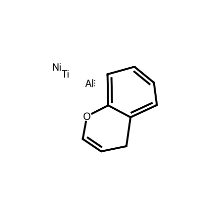 C1=COc2ccccc2C1.[Al].[Ni].[Ti]